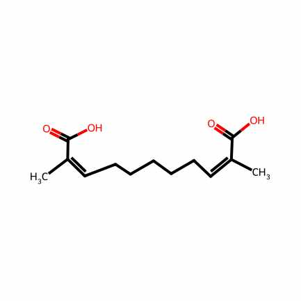 CC(=CCCCCCC=C(C)C(=O)O)C(=O)O